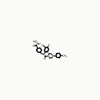 Cc1ccc(N2CCN(C(=O)N(Cc3ccc(C(=O)NO)cc3)c3ccc(F)c(Cl)c3)CC2)cc1